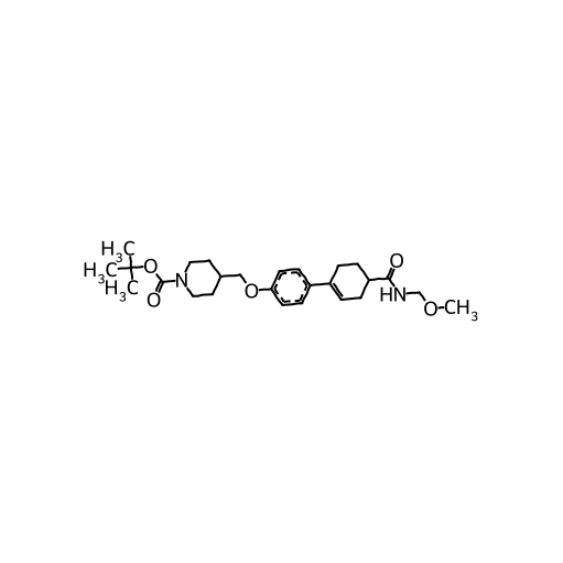 COCNC(=O)C1CC=C(c2ccc(OCC3CCN(C(=O)OC(C)(C)C)CC3)cc2)CC1